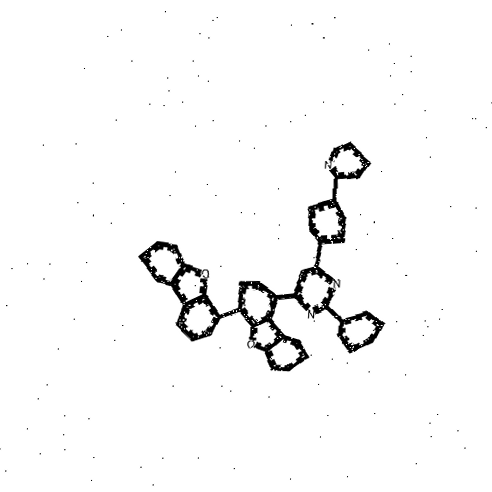 c1ccc(-c2nc(-c3ccc(-c4ccccn4)cc3)cc(-c3ccc(-c4cccc5c4oc4ccccc45)c4oc5ccccc5c34)n2)cc1